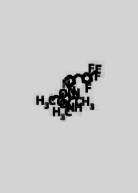 CCC(=O)Oc1c(C(=O)NC)c(C)nn1-c1cc(Cc2cc(F)cc(C(F)(F)F)c2)ccn1